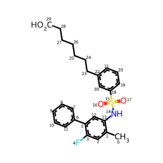 Cc1cc(F)c(-c2ccccc2)cc1NS(=O)(=O)c1cccc(CCCCCCC(=O)O)c1